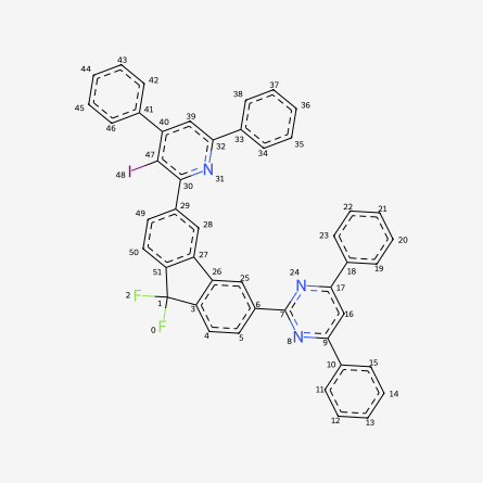 FC1(F)c2ccc(-c3nc(-c4ccccc4)cc(-c4ccccc4)n3)cc2-c2cc(-c3nc(-c4ccccc4)cc(-c4ccccc4)c3I)ccc21